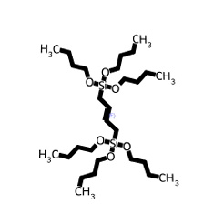 CCCCO[Si](C/C=C/C[Si](OCCCC)(OCCCC)OCCCC)(OCCCC)OCCCC